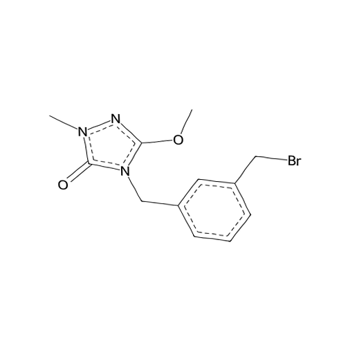 COc1nn(C)c(=O)n1Cc1cccc(CBr)c1